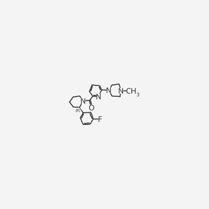 CN1CCN(c2cccc(C(=O)N3CCCC[C@@H]3c3cccc(F)c3)n2)CC1